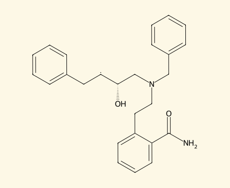 NC(=O)c1ccccc1CCN(Cc1ccccc1)C[C@H](O)[CH]Cc1ccccc1